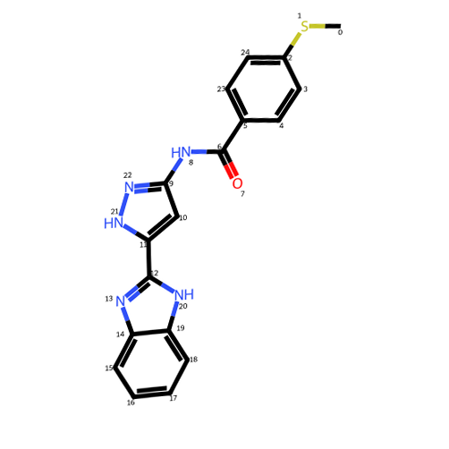 CSc1ccc(C(=O)Nc2cc(-c3nc4ccccc4[nH]3)[nH]n2)cc1